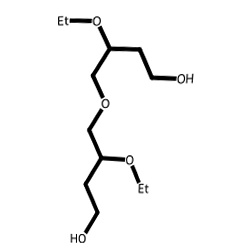 CCOC(CCO)COCC(CCO)OCC